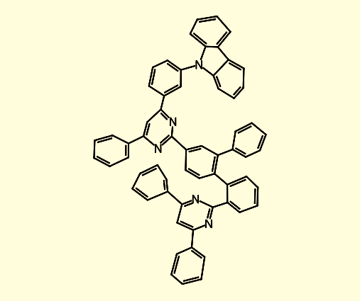 c1ccc(-c2cc(-c3cccc(-n4c5ccccc5c5ccccc54)c3)nc(-c3ccc(-c4ccccc4-c4nc(-c5ccccc5)cc(-c5ccccc5)n4)c(-c4ccccc4)c3)n2)cc1